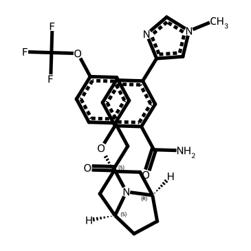 Cn1cnc(-c2ccc(O[C@@H]3C[C@H]4CC[C@@H](C3)N4C(=O)Cc3ccc(OC(F)(F)F)cc3)c(C(N)=O)c2)c1